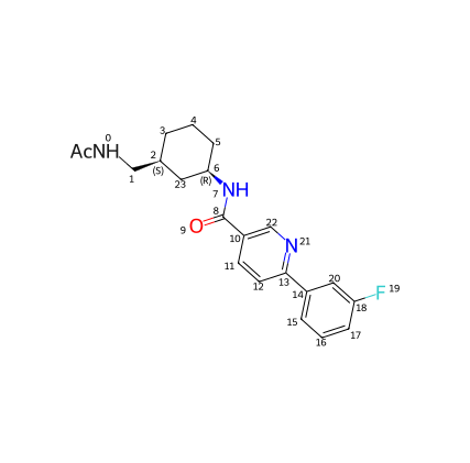 CC(=O)NC[C@H]1CCC[C@@H](NC(=O)c2ccc(-c3cccc(F)c3)nc2)C1